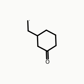 [CH2]CC1CCCC(=O)C1